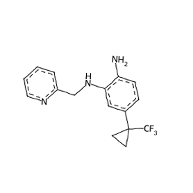 Nc1ccc(C2(C(F)(F)F)CC2)cc1NCc1ccccn1